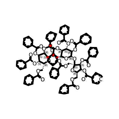 O=C(OC[C@H]1O[C@H](OC[C@H]2O[C@H](O[C@]3(COC(=O)c4ccccc4)O[C@H](COC(=O)c4ccccc4)[C@@H](OC(=O)c4ccccc4)[C@@H]3OC(=O)c3ccccc3)[C@H](OC(=O)c3ccccc3)[C@@H](OC(=O)c3ccccc3)[C@@H]2OC(=O)c2ccccc2)[C@H](OC(=O)c2ccccc2)[C@@H](OC(=O)c2ccccc2)[C@H]1OC(=O)c1ccccc1)c1ccccc1